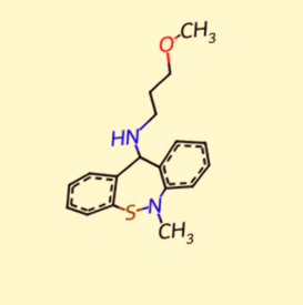 COCCCNC1c2ccccc2SN(C)c2ccccc21